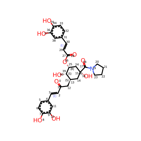 O=C(/C=C/c1ccc(O)c(O)c1)C[C@@H]1C[C@](O)(C(=O)N2CCCC2)C[C@@H](OC(=O)/C=C/c2ccc(O)c(O)c2)[C@H]1O